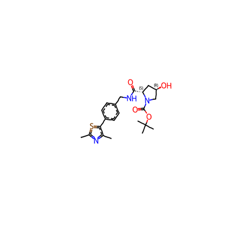 Cc1nc(C)c(-c2ccc(CNC(=O)[C@@H]3C[C@@H](O)CN3C(=O)OC(C)(C)C)cc2)s1